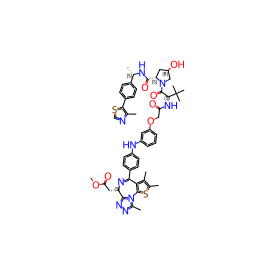 COC(=O)C[C@@H]1N=C(c2ccc(Nc3cccc(OCC(=O)N[C@H](C(=O)N4C[C@H](O)C[C@H]4C(=O)N[C@@H](C)c4ccc(-c5scnc5C)cc4)C(C)(C)C)c3)cc2)c2c(sc(C)c2C)-n2c(C)nnc21